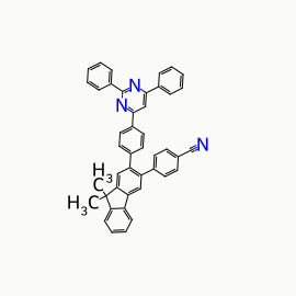 CC1(C)c2ccccc2-c2cc(-c3ccc(C#N)cc3)c(-c3ccc(-c4cc(-c5ccccc5)nc(-c5ccccc5)n4)cc3)cc21